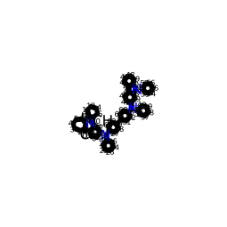 CC12C=CCC=C[C@@H]1N(C1(C)C=CC=CC1)c1cc(N(c3ccccc3)c3ccc(-c4ccc(N(c5ccccc5)c5ccc6c7ccccc7n(-c7ccccc7)c6c5)cc4)cc3)ccc12